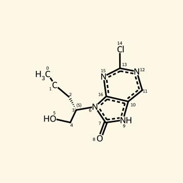 CCC[C@@H](CO)n1c(=O)[nH]c2cnc(Cl)nc21